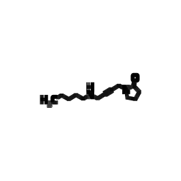 CCCCCNCC#CCN1CCCC1=O